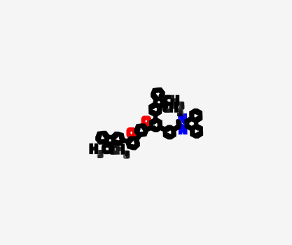 CC1(C)c2ccccc2-c2ccc(-c3cccc4c3oc3cc5oc6c(-c7ccc8c(c7)C(C)(C)c7ccccc7-8)cc(-c7cccc(-c8cnc9c%10ccccc%10c%10ccccc%10c9n8)c7)cc6c5cc34)cc21